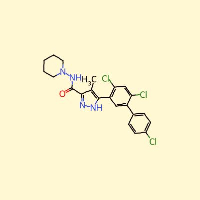 Cc1c(C(=O)NN2CCCCC2)n[nH]c1-c1cc(-c2ccc(Cl)cc2)c(Cl)cc1Cl